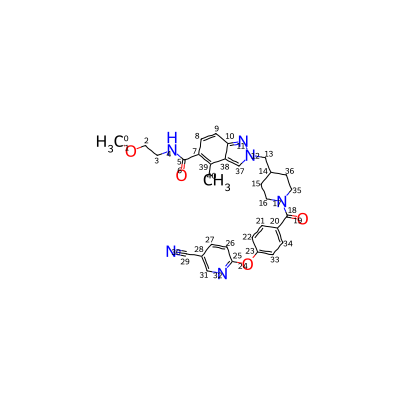 COCCNC(=O)c1ccc2nn(CC3CCN(C(=O)c4ccc(Oc5ccc(C#N)cn5)cc4)CC3)cc2c1C